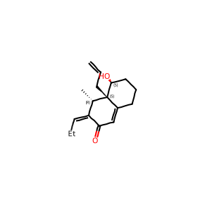 C=CC[C@@]12C(=CC(=O)C(=CCC)[C@@H]1C)CCC[C@@H]2O